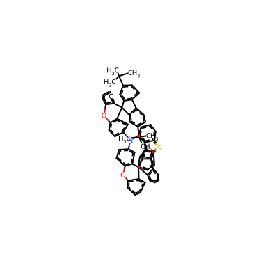 CC(C)(C)c1ccc2c(c1)C1(c3ccccc3Oc3ccc(N(c4ccc5c(c4)C4(c6ccccc6O5)c5ccccc5-c5ccccc54)c4cccc5sc6ccccc6c45)cc31)c1cc(C(C)(C)C)ccc1-2